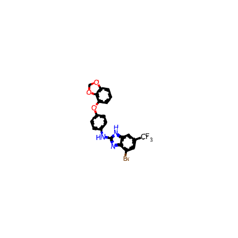 FC(F)(F)c1cc(Br)c2nc(Nc3ccc(Oc4cccc5c4OCO5)cc3)[nH]c2c1